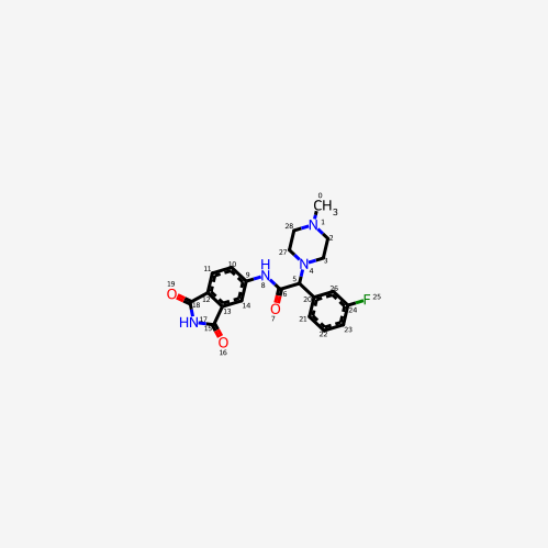 CN1CCN(C(C(=O)Nc2ccc3c(c2)C(=O)NC3=O)c2cccc(F)c2)CC1